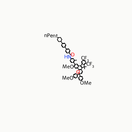 CCCCCC1CCC(c2ccc(-c3ccc(C(=O)Nc4ccc(-c5cc6c7c(c8c(c6cc5OC)OC(c5ccc(OC)cc5)(c5ccc(OC)cc5)C=C8)C(C)(C)c5c-7cc(C(F)(F)F)cc5C(F)(F)F)c(C)c4)cc3)cc2)CC1